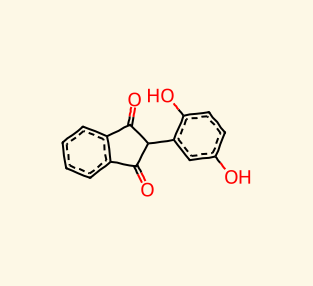 O=C1c2ccccc2C(=O)C1c1cc(O)ccc1O